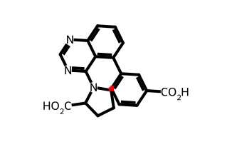 O=C(O)c1cccc(-c2cccc3ncnc(N4CCCC4C(=O)O)c23)c1